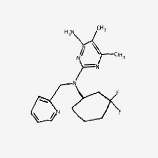 Cc1nc(N(Cc2ccccn2)C2CCCC(F)(F)C2)nc(N)c1C